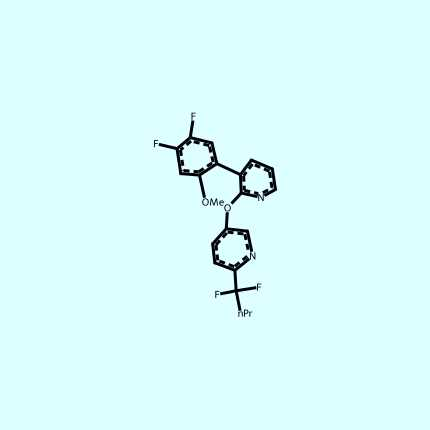 CCCC(F)(F)c1ccc(Oc2ncccc2-c2cc(F)c(F)cc2OC)cn1